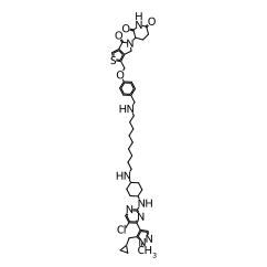 Cn1ncc(-c2nc(NC3CCC(NCCCCCCCCCNCc4ccc(OCc5scc6c5CN(C5CCC(=O)NC5=O)C6=O)cc4)CC3)ncc2Cl)c1CC1CC1